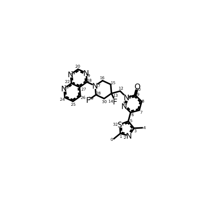 Cc1nc(C)c(-c2ccc(=O)n(CC3(F)CCN(c4ncnc5ncccc45)C(F)C3)n2)s1